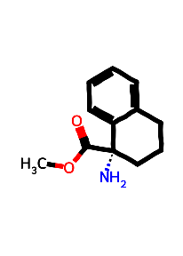 COC(=O)[C@]1(N)CCCc2ccccc21